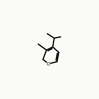 CC1=C(C(C)C)C=COC1